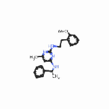 COc1ccccc1CCNc1nc(C)cc(N[C@@H](C)c2ccccc2)n1